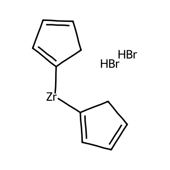 Br.Br.C1=CC[C]([Zr][C]2=CC=CC2)=C1